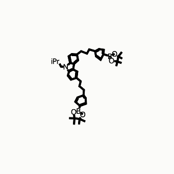 CC(C)Cn1c2ccc(CCCc3ccc(B4OC(C)(C)C(C)(C)O4)cc3)cc2c2cc(CCCc3ccc(B4OC(C)(C)C(C)(C)O4)cc3)ccc21